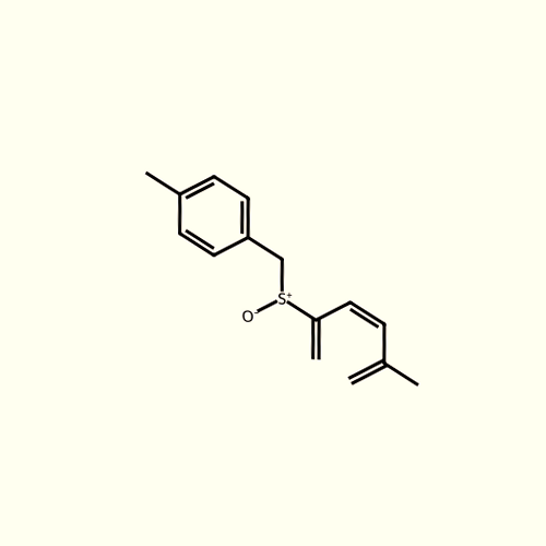 C=C(C)/C=C\C(=C)[S+]([O-])Cc1ccc(C)cc1